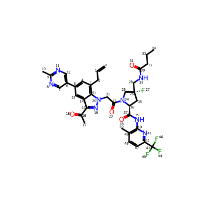 C=CCc1cc(-c2cnc(C)nc2)cc2c(C(C)=O)nn(CC(=O)N3C[C@@](F)(CNC(=O)CCC)C[C@H]3C(=O)Nc3nc(C(F)(F)F)ccc3C)c12